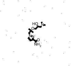 CN(C)C[C@H](O)COC(C)(C)Cn1ccc(C(N)=O)n1